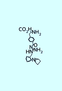 N/C(=N\C(=O)c1ccc(C[C@H](N)C(=O)O)cc1)NCc1ccccc1N1CC2CCC1C2